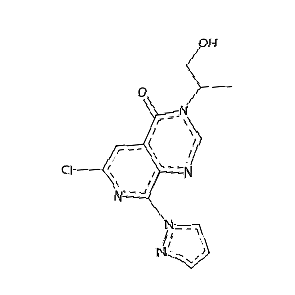 CC(CO)n1cnc2c(-n3cccn3)nc(Cl)cc2c1=O